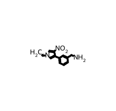 C=Cn1cc(-c2cccc(CN)c2)c([N+](=O)[O-])c1